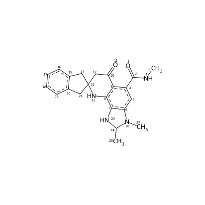 CNC(=O)c1cc2c(c3c1C(=O)CC1(Cc4ccccc4C1)N3)NC(C)N2C